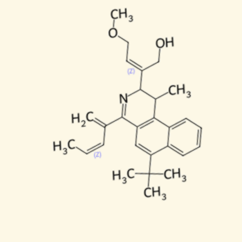 C=C(/C=C\C)C1=NC(/C(=C/COC)CO)C(C)c2c1cc(C(C)(C)C)c1ccccc21